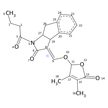 CCCC(=O)N1C(=O)/C(=C/OC2OC(=O)C(C)=C2C)C2c3ccccc3CC21